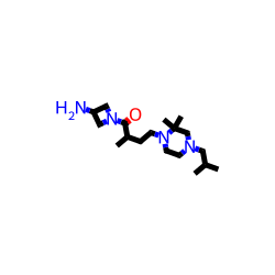 CC(C)CN1CCN(CCC(C)C(=O)N2CC(N)C2)C(C)(C)C1